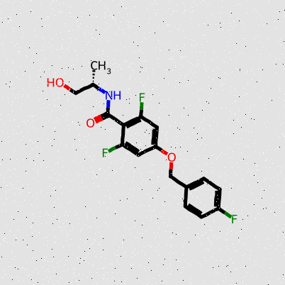 C[C@@H](CO)NC(=O)c1c(F)cc(OCc2ccc(F)cc2)cc1F